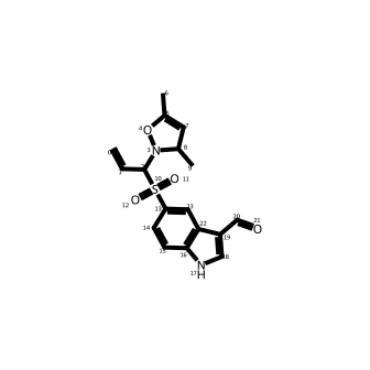 C=CC(N1OC(C)=CC1C)S(=O)(=O)c1ccc2[nH]cc(C=O)c2c1